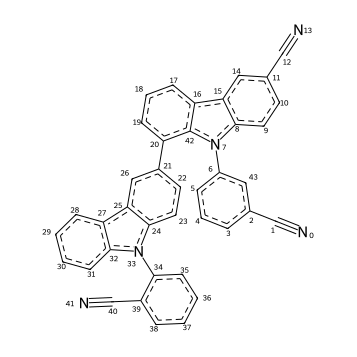 N#Cc1cccc(-n2c3ccc(C#N)cc3c3cccc(-c4ccc5c(c4)c4ccccc4n5-c4ccccc4C#N)c32)c1